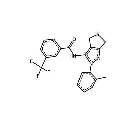 Cc1ccccc1-n1nc2c(c1NC(=O)c1cccc(C(F)(F)F)c1)CSC2